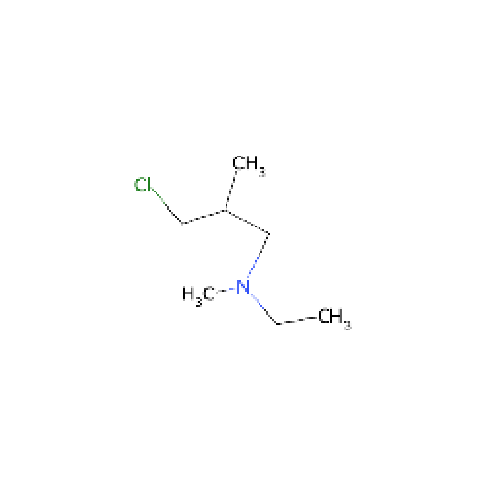 CCN(C)CC(C)CCl